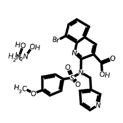 COc1ccc(S(=O)(=O)N(Cc2cccnc2)c2nc3c(Br)cccc3cc2C(=O)O)cc1.NO.NO